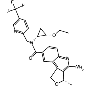 CCO[C@H]1C[C@H]1N(Cc1ccc(C(F)(F)F)cn1)C(=O)c1ccc2nc(N)c3c(c2c1)CO[C@H]3C